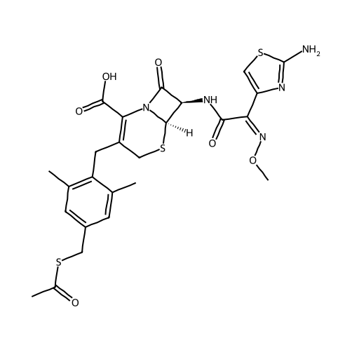 CO/N=C(\C(=O)N[C@@H]1C(=O)N2C(C(=O)O)=C(Cc3c(C)cc(CSC(C)=O)cc3C)CS[C@H]12)c1csc(N)n1